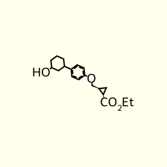 CCOC(=O)[C@H]1C[C@@H]1COc1ccc(C2CCCC(O)C2)cc1